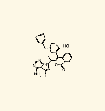 CC(c1oc(=O)c2ccccc2c1C1=CCCN(Cc2ccccc2)C1)n1nc(I)c2c(N)ncnc21.Cl